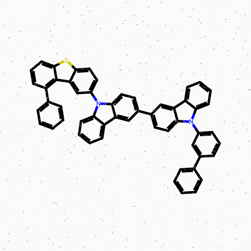 c1ccc(-c2cccc(-n3c4ccccc4c4cc(-c5ccc6c(c5)c5ccccc5n6-c5ccc6sc7cccc(-c8ccccc8)c7c6c5)ccc43)c2)cc1